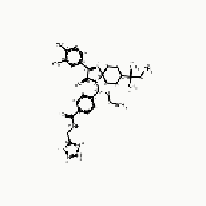 CCC[C@H](c1ccc(C(=O)NCc2nn[nH]n2)cc1)N1C(=O)C(c2ccc(Cl)c(Cl)c2)=NC12CCC(C(C)(C)CC)CC2